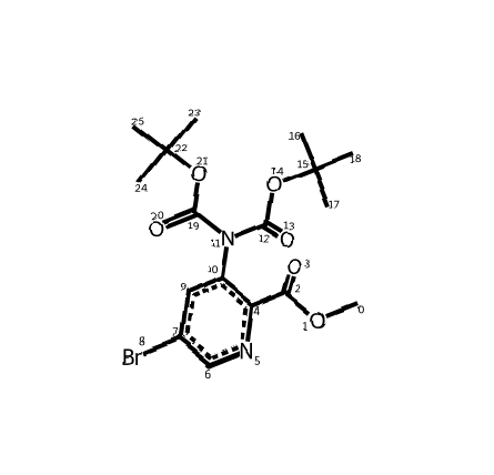 COC(=O)c1ncc(Br)cc1N(C(=O)OC(C)(C)C)C(=O)OC(C)(C)C